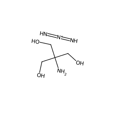 N=[N+]=N.NC(CO)(CO)CO